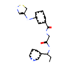 O=C(O)CC(NC(=O)CNC(=O)c1cccc(NC2=CNSC2)c1)c1cccnc1